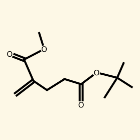 C=C(CCC(=O)OC(C)(C)C)C(=O)OC